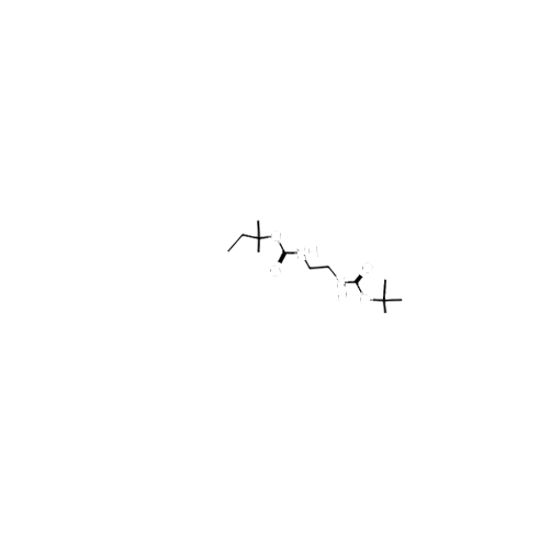 CCC(C)(C)OC(=O)NCCNC(=O)OC(C)(C)C